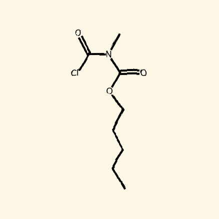 CCCCCOC(=O)N(C)C(=O)Cl